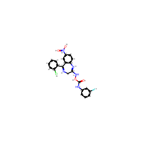 O=C(Nc1cccc(F)c1)ONC1=Nc2ccc([N+](=O)[O-])cc2C(c2ccccc2Cl)=NC1